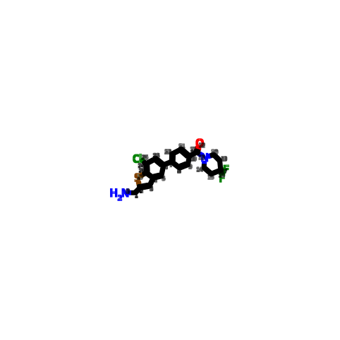 NCc1cc2cc(-c3ccc(C(=O)N4CCC(F)(F)CC4)cc3)cc(Cl)c2s1